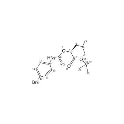 CC(C)C[C@H](OC(=O)Nc1ccc(Br)cc1)C(=O)OC(C)(C)C